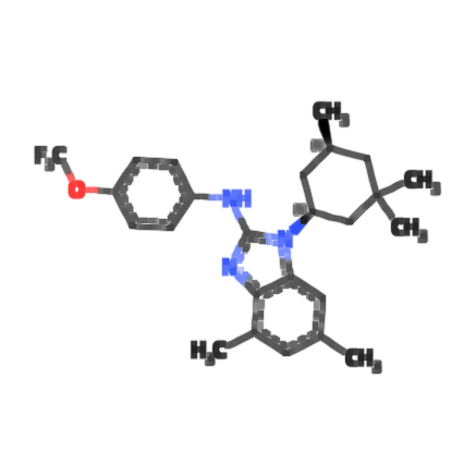 Cc1cc(C)c2nc(Nc3ccc(OC(F)(F)F)cc3)n([C@H]3C[C@@H](C)CC(C)(C)C3)c2c1